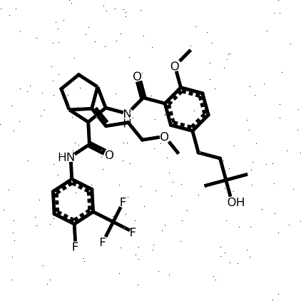 COCC/C=C1\C2CCC1C(C(=O)Nc1ccc(F)c(C(F)(F)F)c1)C2NC(=O)c1cc(CCC(C)(C)O)ccc1OC